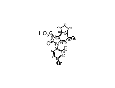 O=C(O)n1c(=O)n(-c2ccc(Br)cc2F)c2cc(=O)n3c(c21)CCC3